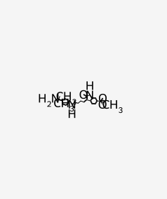 COC(=O)c1ccc2c(c1)NC(=O)C2=CCCCNc1ccc(C(C)(C)N)cc1